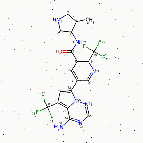 CC1CNCC1NC(=O)c1cc(-c2cc(C(F)(F)F)c3c(N)ncnn23)cnc1C(F)(F)F